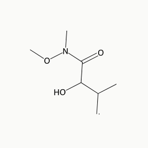 [CH2]C(C)C(O)C(=O)N(C)OC